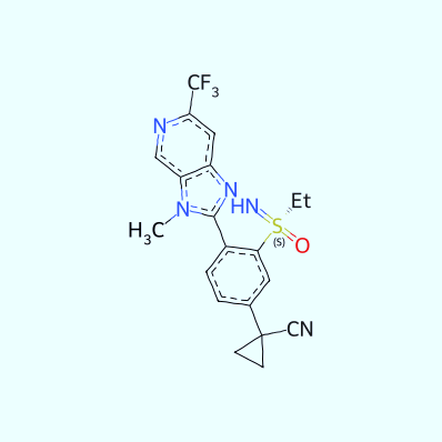 CC[S@](=N)(=O)c1cc(C2(C#N)CC2)ccc1-c1nc2cc(C(F)(F)F)ncc2n1C